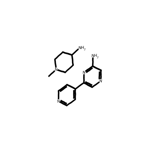 CN1CCC(N)CC1.Nc1cncc(-c2ccncc2)n1